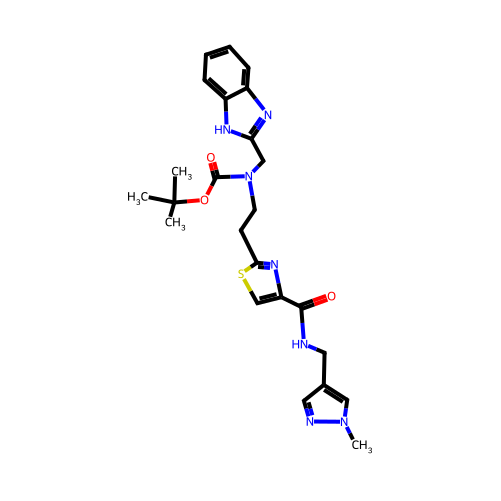 Cn1cc(CNC(=O)c2csc(CCN(Cc3nc4ccccc4[nH]3)C(=O)OC(C)(C)C)n2)cn1